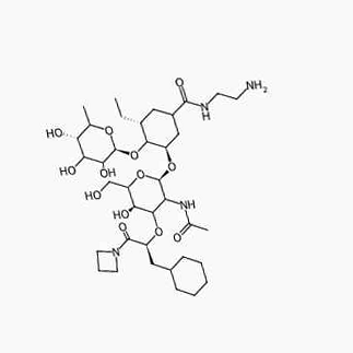 CC[C@@H]1CC(C(=O)NCCN)C[C@@H](O[C@@H]2OC(CO)[C@H](O)C(O[C@@H](CC3CCCCC3)C(=O)N3CCC3)C2NC(C)=O)C1O[C@@H]1OC(C)[C@@H](O)C(O)C1O